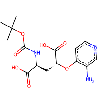 CC(C)(C)OC(=O)N[C@@H](C[C@@H](Oc1ccncc1N)C(=O)O)C(=O)O